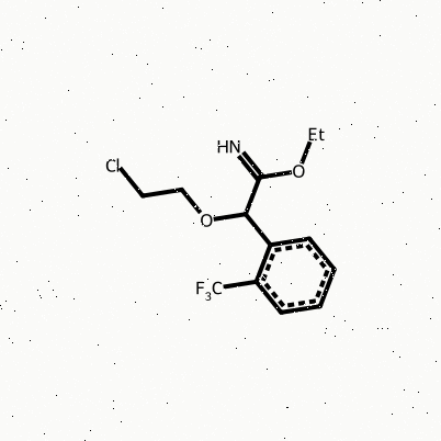 CCOC(=N)C(OCCCl)c1ccccc1C(F)(F)F